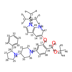 CC(C)[Si](C(C)C)(C(C)C)n1ccc2cc(Oc3cc(N4CCC(N5CCCC5c5ccccc5)CC4)ccc3C(=O)OC(C)(C)C)cnc21